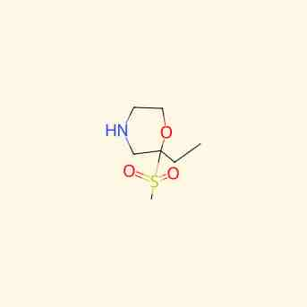 CCC1(S(C)(=O)=O)CNCCO1